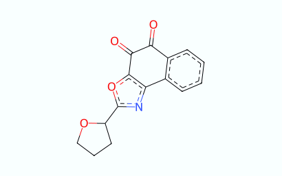 O=C1C(=O)c2oc(C3CCCO3)nc2-c2ccccc21